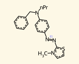 CCCN(Cc1ccccc1)c1ccc(/N=N/c2scc[n+]2C)cc1